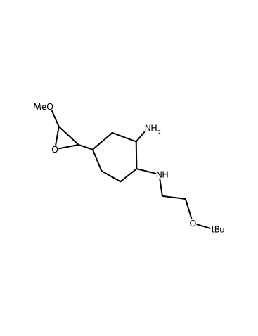 COC1OC1C1CCC(NCCOC(C)(C)C)C(N)C1